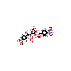 O=C(O[C@H]1[C@H](O)[C@@H](C(O)C(=O)c2ccc([N+](=O)[O-])cc2)O[C@@H]1Cl)c1ccc([N+](=O)[O-])cc1